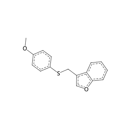 COc1ccc(SCc2coc3ccccc23)cc1